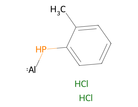 Cc1ccccc1[PH][Al].Cl.Cl